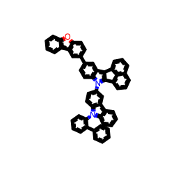 c1ccc(-c2ccccc2-n2c3ccccc3c3cc(-n4c5c(c6cc(-c7ccc8oc9ccccc9c8c7)ccc64)-c4cccc6cccc-5c46)ccc32)cc1